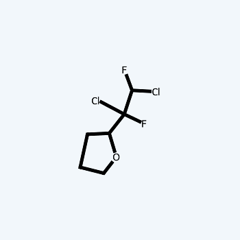 FC(Cl)C(F)(Cl)C1CCCO1